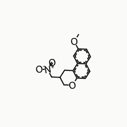 COc1ccc2ccc3c(c2c1)CC(C[N+](=O)[O-])CO3